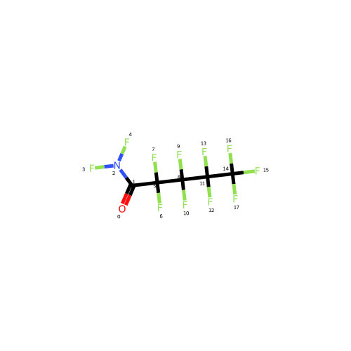 O=C(N(F)F)C(F)(F)C(F)(F)C(F)(F)C(F)(F)F